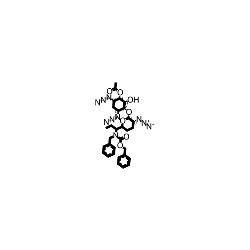 CCC(C1CC[C@@H](N=[N+]=[N-])[C@@H](O[C@H]2[C@H](O)[C@@H](OC(C)=O)[C@H](N=[N+]=[N-])C[C@@H]2N=[N+]=[N-])O1)N(Cc1ccccc1)C(=O)OCc1ccccc1